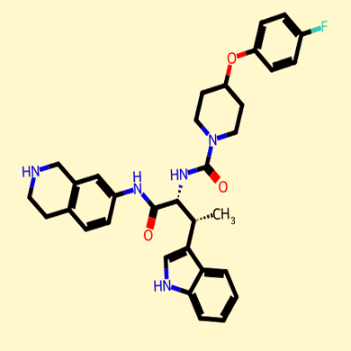 C[C@H](c1c[nH]c2ccccc12)[C@@H](NC(=O)N1CCC(Oc2ccc(F)cc2)CC1)C(=O)Nc1ccc2c(c1)CNCC2